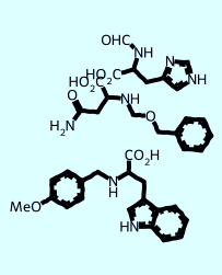 COc1ccc(CNC(Cc2c[nH]c3ccccc23)C(=O)O)cc1.NC(=O)CC(NCOCc1ccccc1)C(=O)O.O=CNC(Cc1c[nH]cn1)C(=O)O